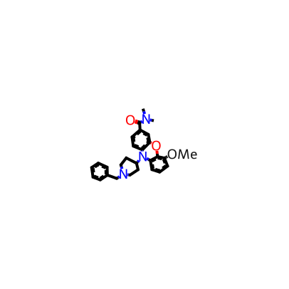 COc1cccc2c1Oc1cc(C(=O)N(C)C)ccc1N2C1CCN(Cc2ccccc2)CC1